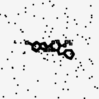 COC(=O)C(CC1CCCCC1)NC(=O)c1cc2cc(Cl)ccc2[nH]1